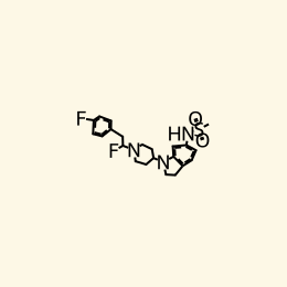 CS(=O)(=O)Nc1ccc2c(c1)N(C1CCN(C(F)Cc3ccc(F)cc3)CC1)CC2